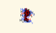 CSCC[C@H](NC(=O)[C@H](Cc1ccc(O)cc1)NC(=O)[C@H](C)N)C(=O)N[C@@H](CCCNC(N)=O)C(=O)N[C@@H](C)C(=O)N[C@@H](CC(=O)O)C(=O)N[C@@H](CCC(N)=O)C(=O)N[C@@H](C)C(=O)N[C@@H](C)C(=O)NCC(=O)NCC(=O)N[C@@H](CC(C)C)C(=O)N[C@@H](CCCNC(=N)N)C(=O)O